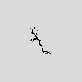 [CH2]CSCCC(=O)OCC